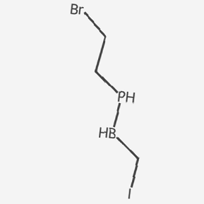 BrCCPBCI